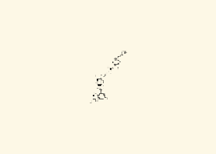 COc1cnc2c(-c3nc4cc(F)c(OCCOC(=O)Nc5ccc(CCO)nc5)nc4s3)cc(C)cc2n1